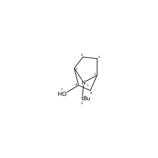 CC(C)(C)N1C2CCC1C(O)C2